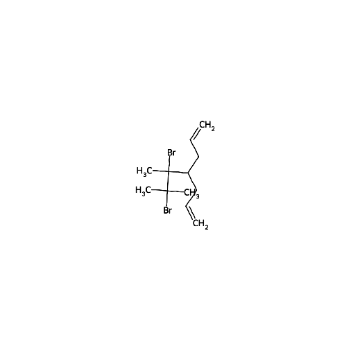 C=CCC(CC=C)C(C)(Br)C(C)(C)Br